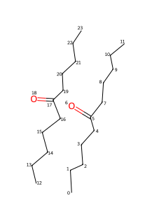 CCCCCC(=O)CCCCC.CCCCCC(=O)CCCCC